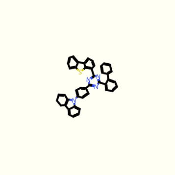 C1=Cc2c(c3ccccc3n2-c2ccc(-c3nc(-c4ccccc4-c4ccccc4)nc(-c4cccc5c4sc4ccccc45)n3)cc2)CC1